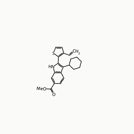 C=Cc1ccsc1-c1[nH]c2cc(C(=O)OC)ccc2c1C1CCCCC1